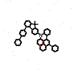 CC1(C)c2cc(N(c3ccccc3)c3ccccc3-c3cc(-c4ccccc4)c4ccccc4c3)ccc2-c2c(-c3ccc(-c4ccccc4)cc3)cccc21